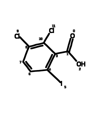 O=C(O)c1c(I)ccc(Cl)c1Cl